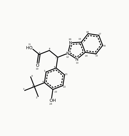 CC(C)(C)c1cc(C(CC(=O)O)n2nc3ccccc3n2)ccc1O